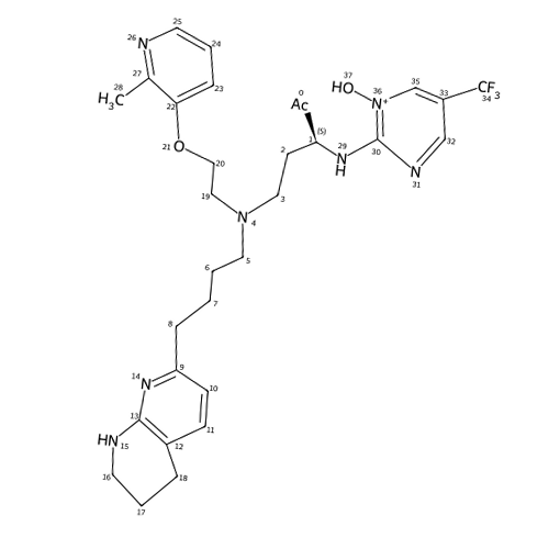 CC(=O)[C@H](CCN(CCCCc1ccc2c(n1)NCCC2)CCOc1cccnc1C)Nc1ncc(C(F)(F)F)c[n+]1O